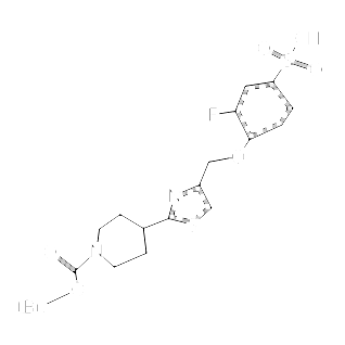 CC(C)(C)OC(=O)N1CCC(c2nc(COc3ccc(S(C)(=O)=O)cc3F)cs2)CC1